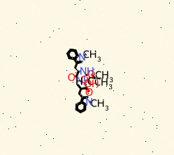 Cn1cc(CC(CNC(=O)[C@@H](Cc2cn(C)c3ccccc23)NC(=O)OC(C)(C)C)C(=O)O)c2ccccc21